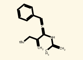 C=C(C)NC(=C=Cc1ccccc1)C(=C)CC(C)(C)C